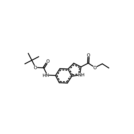 CCOC(=O)c1cc2cc(NC(=O)OC(C)(C)C)ccc2[nH]1